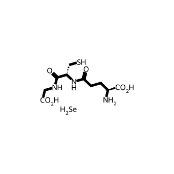 N[C@@H](CCC(=O)N[C@@H](CS)C(=O)NCC(=O)O)C(=O)O.[SeH2]